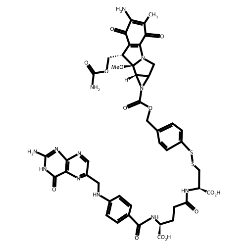 CO[C@@]12[C@H](COC(N)=O)C3=C(C(=O)C(C)=C(N)C3=O)N1CC1[C@@H]2N1C(=O)OCc1ccc(SSC[C@H](NC(=O)CC[C@H](NC(=O)c2ccc(NCc3cnc4nc(N)[nH]c(=O)c4n3)cc2)C(=O)O)C(=O)O)cc1